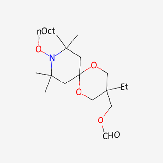 CCCCCCCCON1C(C)(C)CC2(CC1(C)C)OCC(CC)(COC=O)CO2